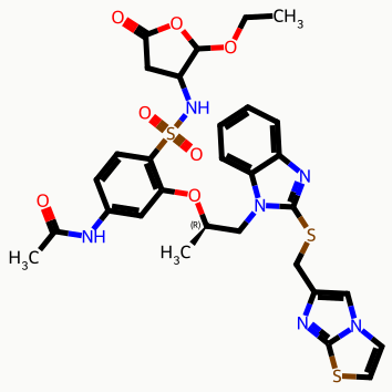 CCOC1OC(=O)CC1NS(=O)(=O)c1ccc(NC(C)=O)cc1O[C@H](C)Cn1c(SCc2cn3ccsc3n2)nc2ccccc21